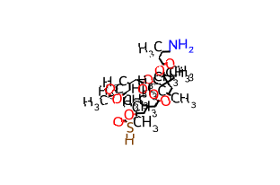 CCC(CC(C)(C)OC(=O)CC(C)CC(C)(C)OC(C)=O)(CC(C)(C)OC(=O)CC(C)CC(C)(C)OC(=O)S)C(C)(C)OC(=O)CC(C)CN